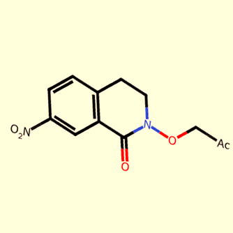 CC(=O)CON1CCc2ccc([N+](=O)[O-])cc2C1=O